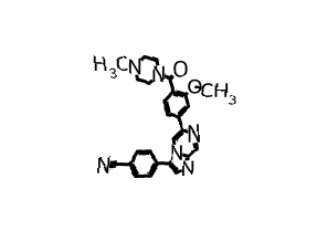 COc1cc(-c2cn3c(-c4ccc(C#N)cc4)cnc3cn2)ccc1C(=O)N1CCN(C)CC1